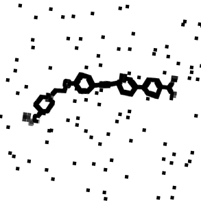 CC1CCN(CCOc2ccc(C#Cc3ccc(-c4ccc(C(F)F)cc4)cn3)cc2)CC1